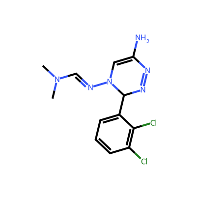 CN(C)C=NN1C=C(N)N=NC1c1cccc(Cl)c1Cl